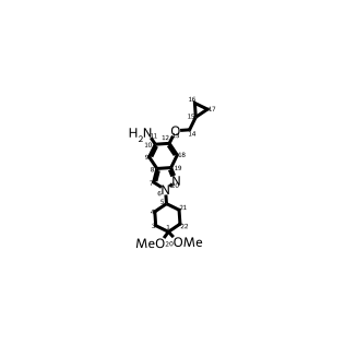 COC1(OC)CCC(n2cc3cc(N)c(OCC4CC4)cc3n2)CC1